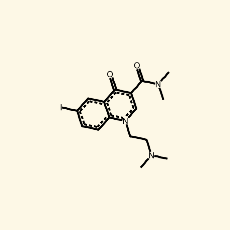 CN(C)CCn1cc(C(=O)N(C)C)c(=O)c2cc(I)ccc21